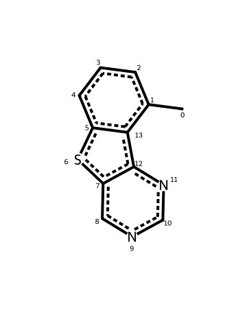 Cc1cccc2sc3cncnc3c12